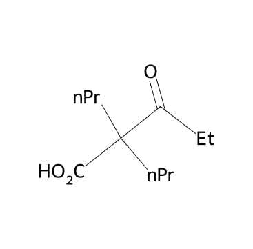 CCCC(CCC)(C(=O)O)C(=O)CC